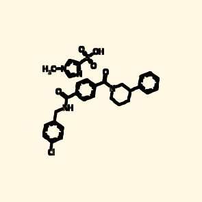 Cn1cnc(S(=O)(=O)O)c1.O=C(NCc1ccc(Cl)cc1)c1ccc(C(=O)N2CCCC(c3ccccc3)C2)cc1